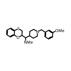 CNC(C1CCN(Cc2cccc(OC)c2)CC1)C1CSc2ccccc2O1